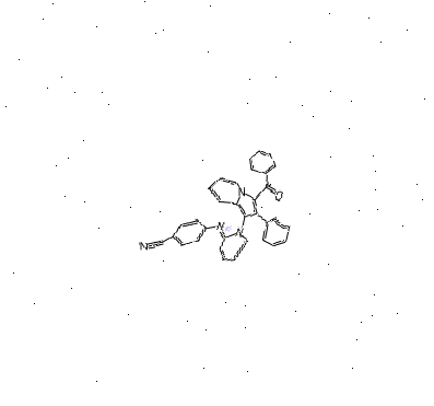 N#Cc1ccc(/N=c2\ccccn2-c2c(-c3ccccc3)c(C(=O)c3ccccc3)n3ccccc23)cc1